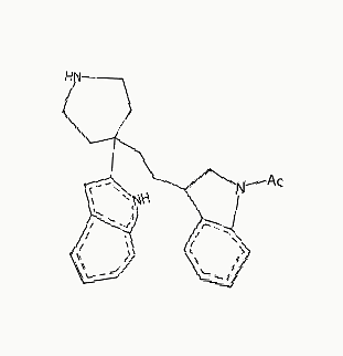 CC(=O)N1CC(CCC2(c3cc4ccccc4[nH]3)CCNCC2)c2ccccc21